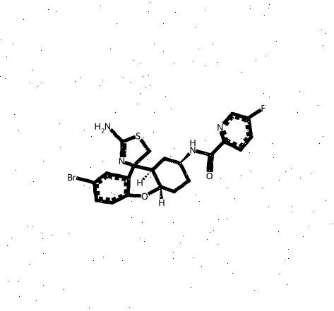 NC1=NC2(CS1)c1cc(Br)ccc1O[C@H]1CC[C@H](NC(=O)c3ccc(F)cn3)C[C@@H]12